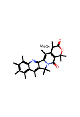 CO[C@]1(C)C(=O)OC(C)(C)c2c1c(C)c1n(c2=O)C(C)(C)c2c-1nc1c(C)c(C)c(C)c(C)c1c2C